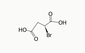 O=C(O)C[C@H](Br)C(=O)O